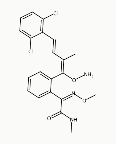 CNC(=O)C(=NOC)c1ccccc1C(ON)=C(C)C=Cc1c(Cl)cccc1Cl